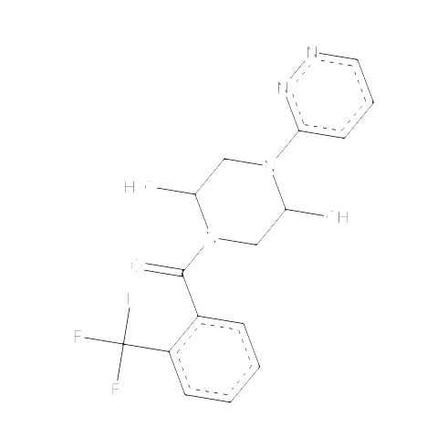 CC1CN(c2cccnn2)C(C)CN1C(=O)c1ccccc1C(F)(F)F